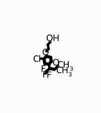 CC1(C)C=C(C(F)(F)F)c2cc(Cl)c(OCCCO)cc2O1